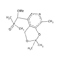 COC(c1cnc(C)c2c1COC(C)(C)O2)P(C)(C)=O